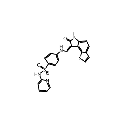 O=C1Nc2ccc3ccsc3c2/C1=C/Nc1ccc(S(=O)(=O)Nc2ccccn2)cc1